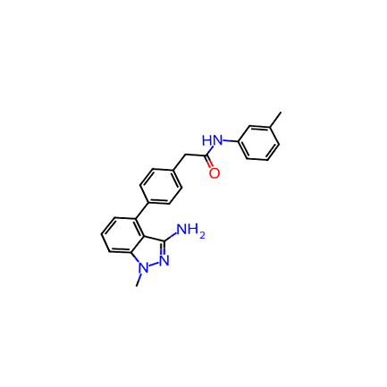 Cc1cccc(NC(=O)Cc2ccc(-c3cccc4c3c(N)nn4C)cc2)c1